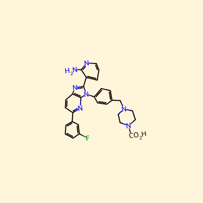 Nc1ncccc1-c1nc2ccc(-c3cccc(F)c3)nc2n1-c1ccc(CN2CCN(C(=O)O)CC2)cc1